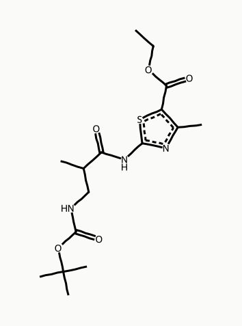 CCOC(=O)c1sc(NC(=O)C(C)CNC(=O)OC(C)(C)C)nc1C